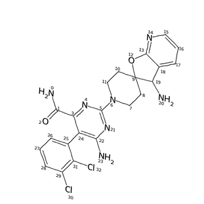 NC(=O)c1nc(N2CCC3(CC2)Oc2ncccc2C3N)nc(N)c1-c1cccc(Cl)c1Cl